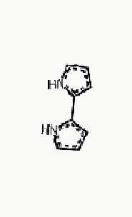 c1c[nH]c(-c2ccc[nH]2)c1